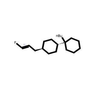 CCCCC1([C@H]2CC[C@H](C/C=C/F)CC2)CCCCC1